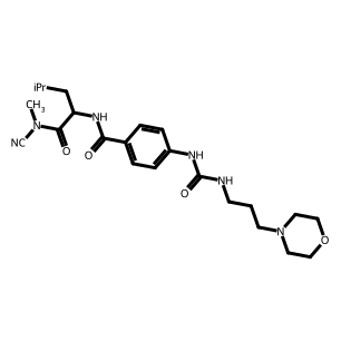 CC(C)CC(NC(=O)c1ccc(NC(=O)NCCCN2CCOCC2)cc1)C(=O)N(C)C#N